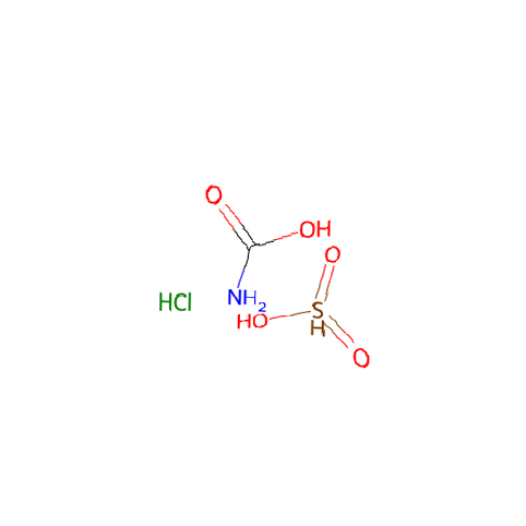 Cl.NC(=O)O.O=[SH](=O)O